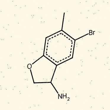 Cc1cc2c(cc1Br)C(N)CO2